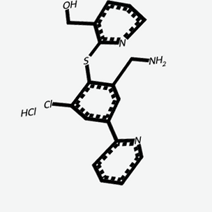 Cl.NCc1cc(-c2ccccn2)cc(Cl)c1Sc1ncccc1CO